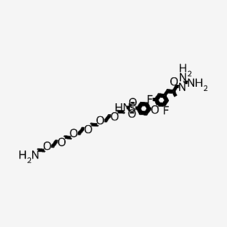 C/C(=C\c1cc(F)c(Oc2ccc(S(=O)(=O)NCCOCCOCCOCCOCCOCCOCCN)cc2)c(F)c1)C(=O)N=C(N)N